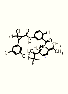 C=C(/C=C\C(NC(=O)c1cc(NC(=O)C2C(c3cc(Cl)cc(Cl)c3)C2(Cl)Cl)ccc1Cl)=C(C)C)C(=C)C(F)(F)F